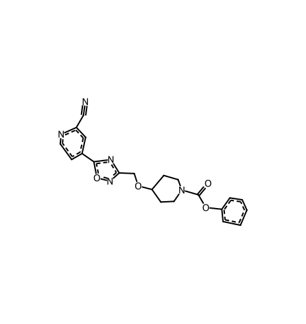 N#Cc1cc(-c2nc(COC3CCN(C(=O)Oc4ccccc4)CC3)no2)ccn1